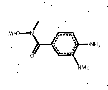 CNc1cc(C(=O)N(C)OC)ccc1N